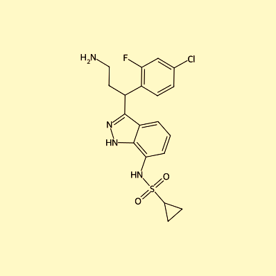 NCCC(c1ccc(Cl)cc1F)c1n[nH]c2c(NS(=O)(=O)C3CC3)cccc12